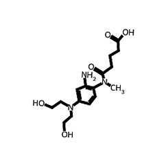 CN(C(=O)CCCC(=O)O)c1ccc(N(CCO)CCO)cc1N